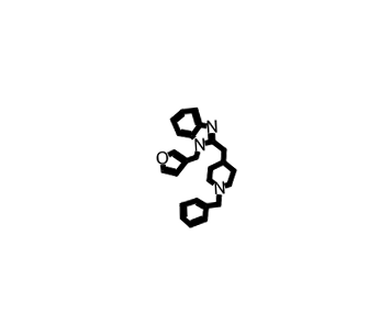 c1ccc(CN2CCC(Cc3nc4ccccc4n3Cc3ccoc3)CC2)cc1